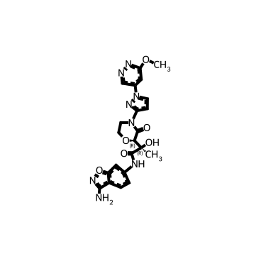 COc1cc(-n2ccc(N3CCO[C@H]([C@@](C)(O)C(=O)Nc4ccc5c(N)noc5c4)C3=O)n2)cnn1